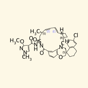 COc1nn(C)cc1C(=O)N[S@@]1(=O)=NC(=O)c2ccc3c(c2)N(C[C@@H]2CC[C@H]2/C=C/C=C\[C@H](C)C1)C[C@@]1(CCCc2cc(Cl)ccc21)CO3